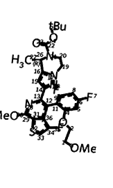 COCCOc1cc(F)cc(F)c1-c1c(-c2cc3n(n2)CCN(C(=O)OC(C)(C)C)[C@@H]3C)nc(OC)c2scc(F)c12